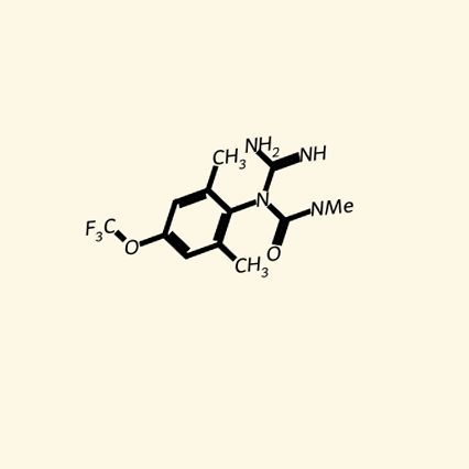 CNC(=O)N(C(=N)N)c1c(C)cc(OC(F)(F)F)cc1C